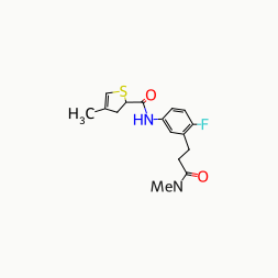 CNC(=O)CCc1cc(NC(=O)C2CC(C)=CS2)ccc1F